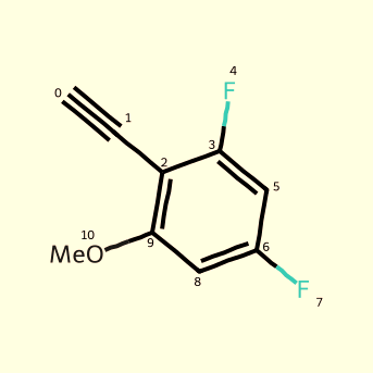 C#Cc1c(F)cc(F)cc1OC